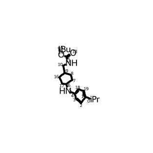 CC(C)c1ccc(NC2CCC(CNC(=O)OC(C)(C)C)CC2)cc1